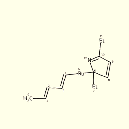 CC=CC=[CH][Ru][C]1(CC)C=CC(CC)=N1